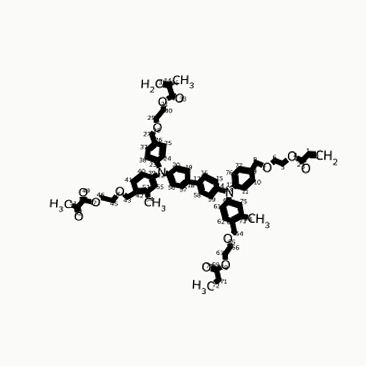 C=CC(=O)OCCOCc1ccc(N(c2ccc(-c3ccc(N(c4ccc(COCCOC(=O)C(=C)C)cc4)c4ccc(COCCOC(=O)C(C)=O)c(C)c4)cc3)cc2)c2ccc(COCCOC(=O)CC)c(C)c2)cc1